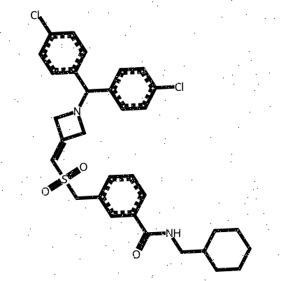 O=C(NCC1CCCCC1)c1cccc(CS(=O)(=O)C=C2CN(C(c3ccc(Cl)cc3)c3ccc(Cl)cc3)C2)c1